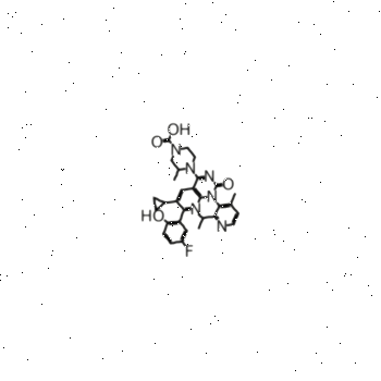 Cc1ccnc(C(C)C)c1-n1c(=O)nc(N2CCN(C(=O)O)CC2C)c2cc(C3CC3)c(-c3cc(F)ccc3O)nc21